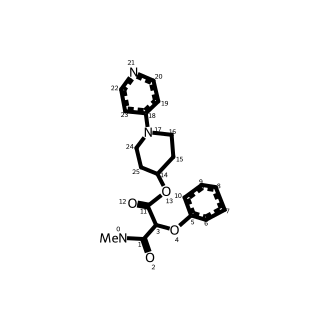 CNC(=O)C(Oc1ccccc1)C(=O)OC1CCN(c2ccncc2)CC1